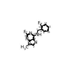 Cn1cnc2c(NCc3ccccc3F)nc(F)nc21